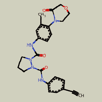 C#Cc1ccc(NC(=O)N2CCCN2C(=O)Nc2ccc(N3CCOCC3=O)c(C)c2)cc1